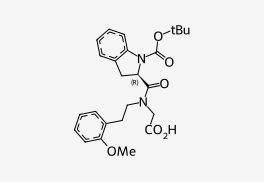 COc1ccccc1CCN(CC(=O)O)C(=O)[C@H]1Cc2ccccc2N1C(=O)OC(C)(C)C